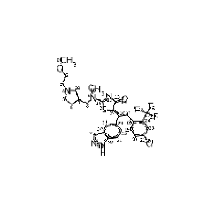 COCCN1CCC(CN(C)C2=NC(=O)C(=C(Cc3ccc(Cl)cc3C(F)(F)F)c3ccc4[nH]ncc4c3)S2)C1